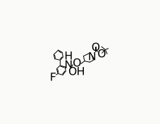 CC(C)(C)OC(=O)N1CCC(COC(O)Nc2ccc(F)cc2-c2ccccc2)CC1